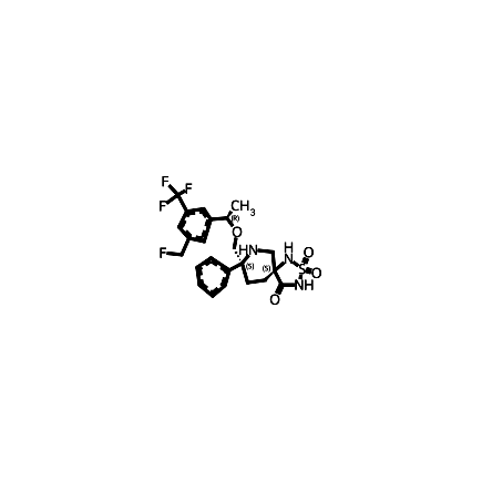 C[C@@H](OC[C@@]1(c2ccccc2)CC[C@@]2(CN1)NS(=O)(=O)NC2=O)c1cc(CF)cc(C(F)(F)F)c1